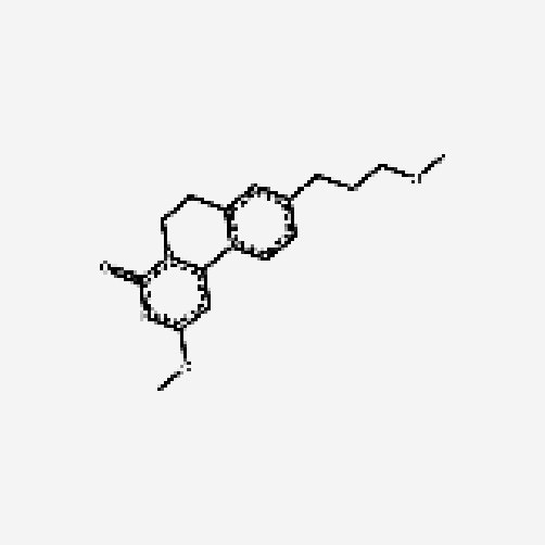 COCCCc1ccc2c(c1)CCn1c-2cc(OC)nc1=O